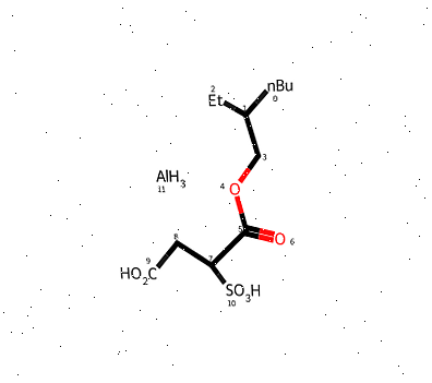 CCCCC(CC)COC(=O)C(CC(=O)O)S(=O)(=O)O.[AlH3]